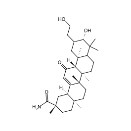 CC1(C)C2CC[C@]3(C)[C@H](C(=O)C=C4[C@@H]5C[C@@](C)(C(N)=O)CC[C@]5(C)CC[C@]43C)[C@@]2(C)CC(CCO)[C@@H]1O